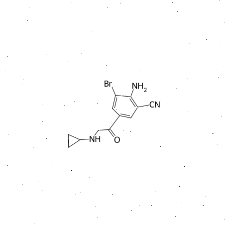 N#Cc1cc(C(=O)CNC2CC2)cc(Br)c1N